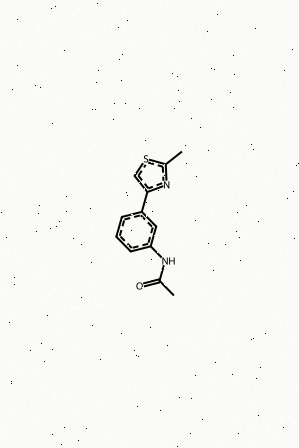 CC(=O)Nc1cccc(-c2csc(C)n2)c1